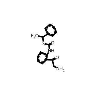 NCC(=O)c1ccccc1NC(=O)SC(c1ccccc1)C(F)(F)F